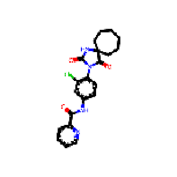 O=C(Nc1ccc(N2C(=O)NC3(CCCCCC3)C2=O)c(Cl)c1)c1ccccn1